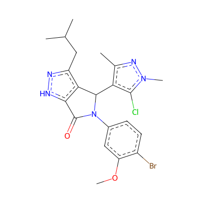 COc1cc(N2C(=O)c3[nH]nc(CC(C)C)c3C2c2c(C)nn(C)c2Cl)ccc1Br